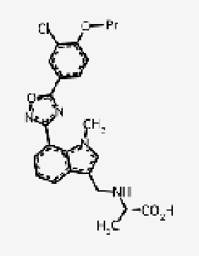 CC(C)Oc1ccc(-c2nc(-c3cccc4c(CN[C@H](C)C(=O)O)cn(C)c34)no2)cc1Cl